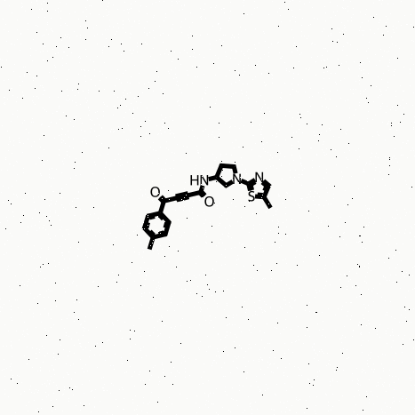 Cc1ccc(C(=O)C#CC(=O)NC2CCN(c3ncc(C)s3)C2)cc1